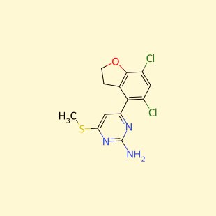 CSc1cc(-c2c(Cl)cc(Cl)c3c2CCO3)nc(N)n1